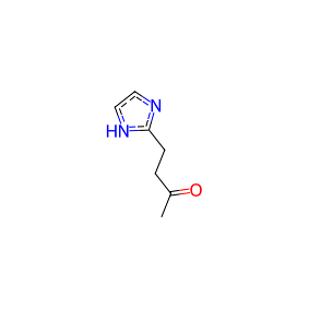 CC(=O)CCc1ncc[nH]1